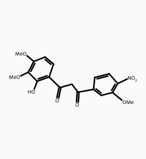 COc1cc(C(=O)CC(=O)c2ccc(OC)c(OC)c2O)ccc1[N+](=O)[O-]